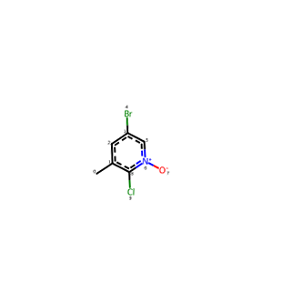 Cc1cc(Br)c[n+]([O-])c1Cl